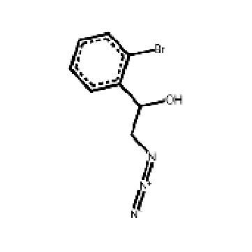 [N-]=[N+]=NCC(O)c1ccccc1Br